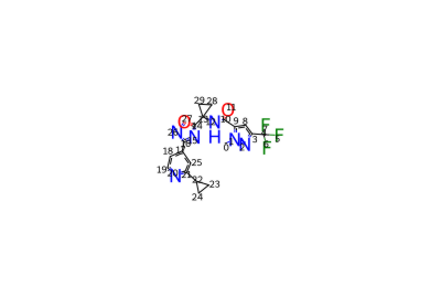 Cn1nc(C(F)(F)F)cc1C(=O)NC1(c2nc(-c3ccnc(C4CC4)c3)no2)CC1